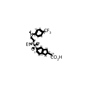 CCN(CCN(C)c1ccc(C(F)(F)F)cc1)S(=O)(=O)c1ccc2c(c1)CC(CC(=O)O)C2